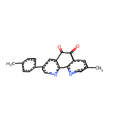 Cc1ccc(-c2cnc3c(c2)C(=O)C(=O)c2cc(C)cnc2-3)cc1